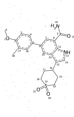 COc1ccc(-c2cc(C(N)=O)c3[nH]cc(C4CCS(=O)(=O)CC4)c3c2)cc1C